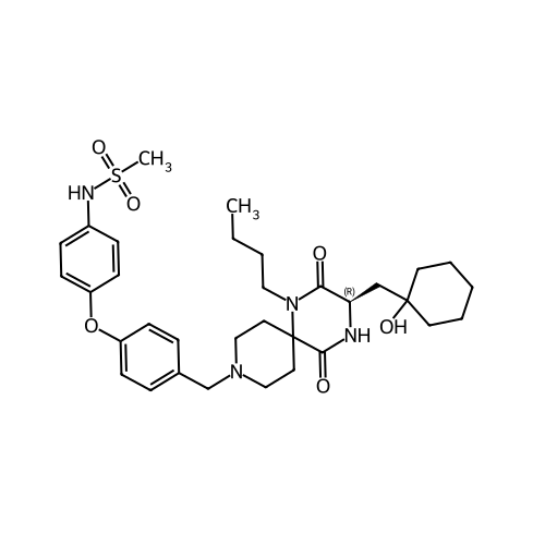 CCCCN1C(=O)[C@@H](CC2(O)CCCCC2)NC(=O)C12CCN(Cc1ccc(Oc3ccc(NS(C)(=O)=O)cc3)cc1)CC2